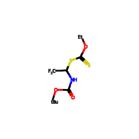 CCOC(=S)SC(NC(=O)OC(C)(C)C)C(F)(F)F